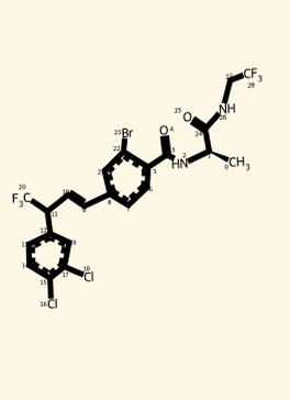 C[C@@H](NC(=O)c1ccc(/C=C/C(c2ccc(Cl)c(Cl)c2)C(F)(F)F)cc1Br)C(=O)NCC(F)(F)F